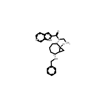 CCN(C(=O)c1cc2ccncc2[nH]1)[C@H]1CCC[C@@H](NCc2ccccc2)C2C[C@H]21